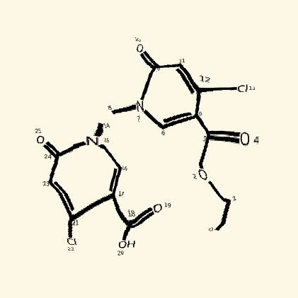 CCOC(=O)c1cn(C)c(=O)cc1Cl.Cn1cc(C(=O)O)c(Cl)cc1=O